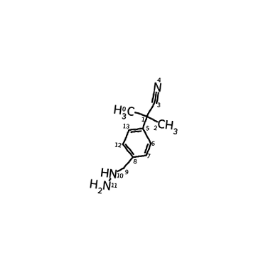 CC(C)(C#N)c1ccc(CNN)cc1